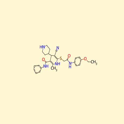 CCOc1ccc(NC(=O)CSC2=C(C#N)C(C3CCNCC3)C(C(=O)Nc3ccccc3)=C(C)N2)cc1